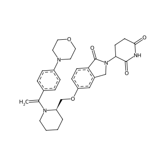 C=C(c1ccc(N2CCOCC2)cc1)N1CCCC[C@@H]1COc1ccc2c(c1)CN(C1CCC(=O)NC1=O)C2=O